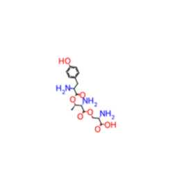 C[C@@H](OC(=O)[C@@H](N)Cc1ccc(O)cc1)[C@H](N)C(=O)OC[C@H](N)C(=O)O